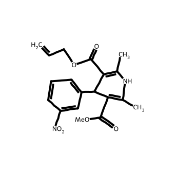 C=CCOC(=O)C1=C(C)NC(C)=C(C(=O)OC)C1c1cccc([N+](=O)[O-])c1